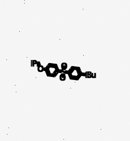 CCC(C)c1ccc(S(=O)(=O)c2ccc(OC(C)C)cc2)cc1